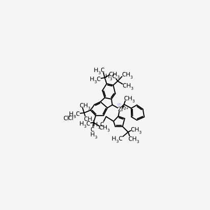 CCC1C=C(C(C)(C)C)C=[C]1/[Zr+2](=[C](/C)c1ccccc1)[CH]1c2cc(C(C)(C)C)c(C(C)(C)C)cc2-c2cc(C(C)(C)C)c(C(C)(C)C)cc21.[Cl-].[Cl-]